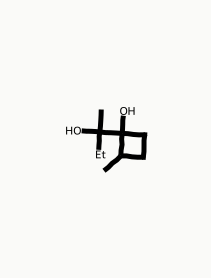 CCC(C)(O)C1(O)CCC1C